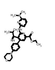 CCOC(=O)c1cc(-c2ccc(N3CCOCC3)cc2)c(C(=N)C(C)C)c(Nc2cccc(N(C)C)n2)n1